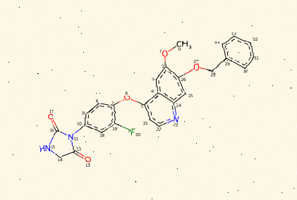 COc1cc2c(Oc3ccc(N4C(=O)CNC4=O)cc3F)ccnc2cc1OCc1ccccc1